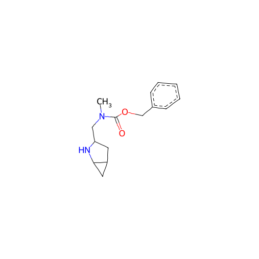 CN(CC1CC2CC2N1)C(=O)OCc1ccccc1